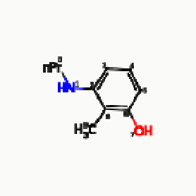 CCCNc1cccc(O)c1C